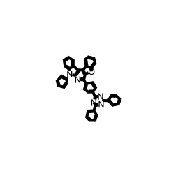 c1ccc(-c2nc(-c3ccccc3)nc(-c3ccc(-c4nc5c(c6ccccc6n5-c5ccccc5)c5c4oc4ccccc45)cc3)n2)cc1